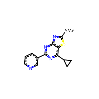 CSc1nc2nc(-c3cccnc3)nc(C3CC3)c2s1